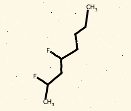 CCCCC(F)CC(C)F